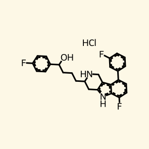 Cl.OC(CCCC1Cc2[nH]c3c(F)ccc(-c4cccc(F)c4)c3c2CN1)c1ccc(F)cc1